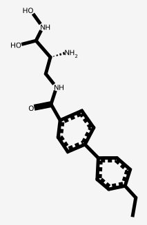 CCc1ccc(-c2ccc(C(=O)NC[C@@H](N)C(O)NO)cc2)cc1